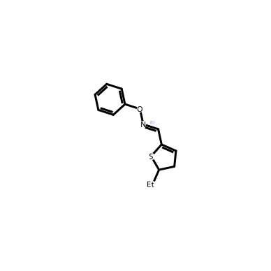 CCC1CC=C(/C=N/Oc2ccccc2)S1